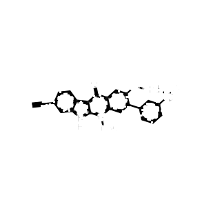 C#Cc1ccc2c(c1)[nH]c1c2c(=O)c2cc(OCCCC)c(-c3cccc(S(=O)(=O)F)c3)cc2n1CCCC